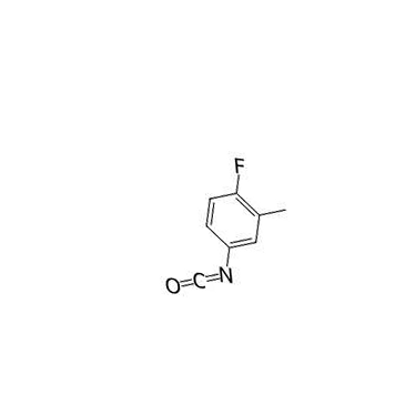 Cc1cc(N=C=O)ccc1F